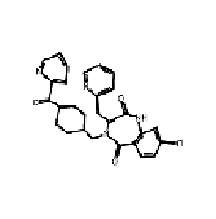 O=C(c1ccccn1)C1CCC(CN2C(=O)c3ccc(Cl)cc3NC(=O)C2Cc2ccccn2)CC1